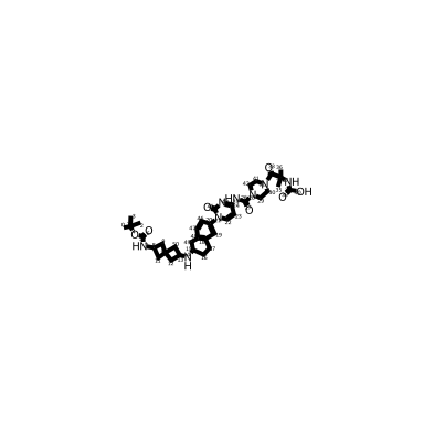 CC(C)(C)OC(=O)NC1CC2(C1)CC(NC1CCc3cc(-n4ccc(NC(=O)N5CCN(C(=O)C(C)(C)NC(=O)O)CC5)nc4=O)ccc3C1)C2